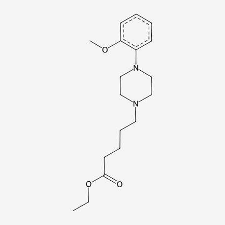 CCOC(=O)CCCCN1CCN(c2ccccc2OC)CC1